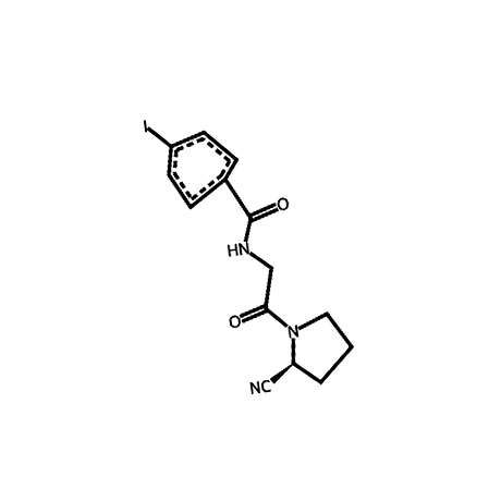 N#C[C@@H]1CCCN1C(=O)CNC(=O)c1ccc(I)cc1